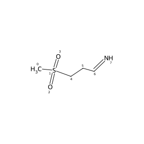 CS(=O)(=O)CCC=N